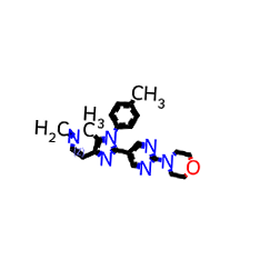 C=N/C=C\c1nc(-c2cnc(N3CCOCC3)nc2)n(-c2ccc(C)cc2)c1C